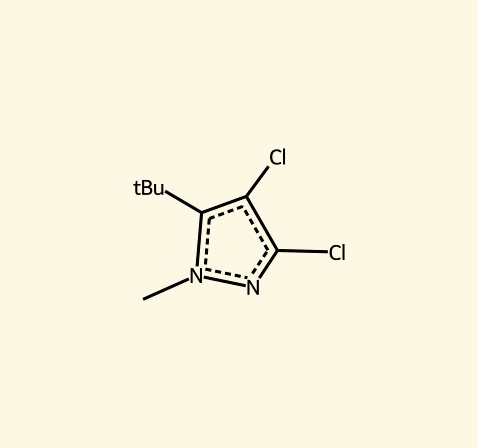 Cn1nc(Cl)c(Cl)c1C(C)(C)C